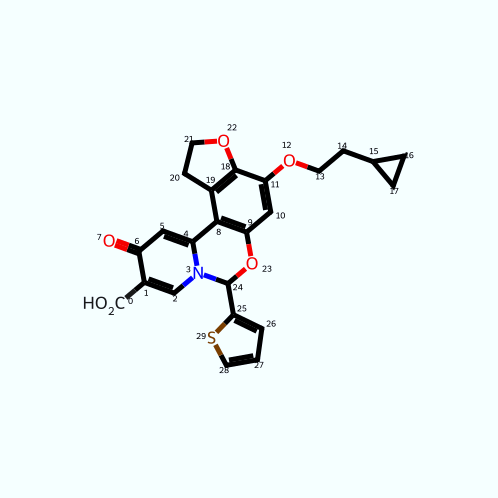 O=C(O)c1cn2c(cc1=O)-c1c(cc(OCCC3CC3)c3c1CCO3)OC2c1cccs1